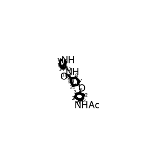 CC(=O)Nc1ccc(Oc2ccc(C(=O)NC3CC4CNC3C4)cc2)cc1